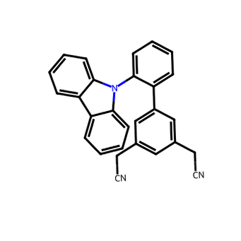 N#CCc1cc(CC#N)cc(-c2ccccc2-n2c3ccccc3c3ccccc32)c1